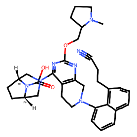 CN1CCCC1COc1nc2c(c(N3C[C@H]4CC[C@@H](C3)N4C(=O)O)n1)CCN(c1cccc3cccc(CCC#N)c13)C2